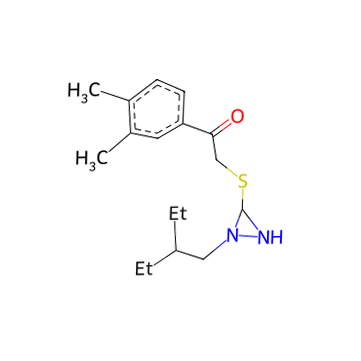 CCC(CC)CN1NC1SCC(=O)c1ccc(C)c(C)c1